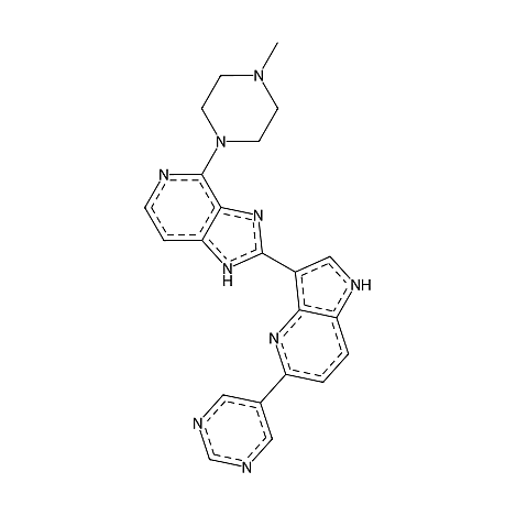 CN1CCN(c2nccc3[nH]c(-c4c[nH]c5ccc(-c6cncnc6)nc45)nc23)CC1